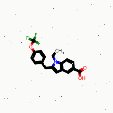 CCn1c(Cc2ccc(OC(F)(F)F)cc2)cc2cc(C(=O)O)ccc21